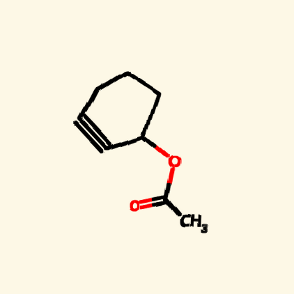 CC(=O)OC1C#CCCC1